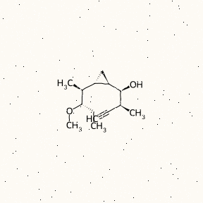 C#C[C@H](C)[C@H](O)[C@@H]1C[C@H]1[C@H](C)[C@H](CC)OC